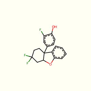 Oc1ccc(C23CCC(F)(F)CC2Oc2ccccc23)cc1F